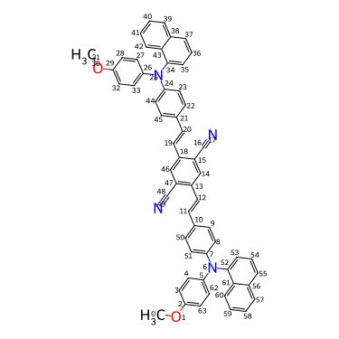 COc1ccc(N(c2ccc(C=Cc3cc(C#N)c(C=Cc4ccc(N(c5ccc(OC)cc5)c5cccc6ccccc56)cc4)cc3C#N)cc2)c2cccc3ccccc23)cc1